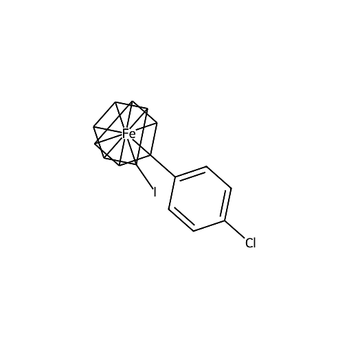 Clc1ccc([C]23[CH]4[CH]5[CH]6[CH]2[Fe]56432789[CH]3[CH]2[CH]7[C]8(I)[CH]39)cc1